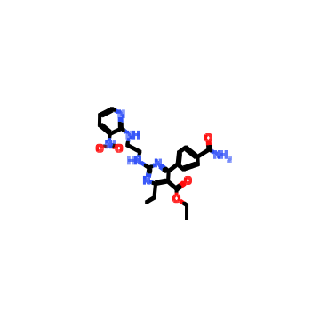 CCOC(=O)c1c(CC)nc(NCCNc2ncccc2[N+](=O)[O-])nc1-c1ccc(C(N)=O)cc1